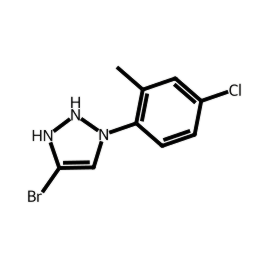 Cc1cc(Cl)ccc1N1C=C(Br)NN1